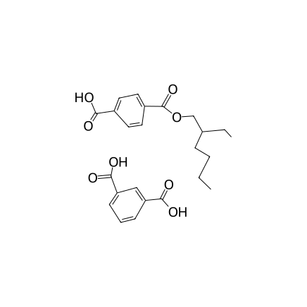 CCCCC(CC)COC(=O)c1ccc(C(=O)O)cc1.O=C(O)c1cccc(C(=O)O)c1